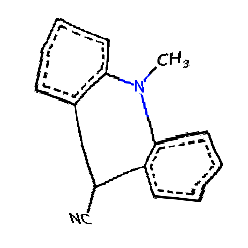 CN1c2ccccc2CC(C#N)c2ccccc21